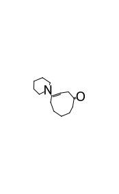 O=C1CC=C(N2CCCCC2)CCCCC1